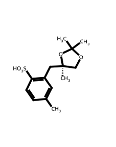 Cc1ccc(S(=O)(=O)O)c(C[C@]2(C)COC(C)(C)O2)c1